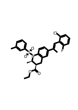 CCOC(=O)[C@@H]1Cc2cc(/C(C)=C/c3c(F)cccc3Cl)ccc2N(S(=O)(=O)c2cccc(C)c2)[C@@H]1C